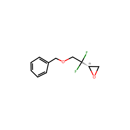 FC(F)(COCc1ccccc1)[C@@H]1CO1